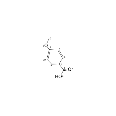 COc1c[c]c(C(=O)O)cc1